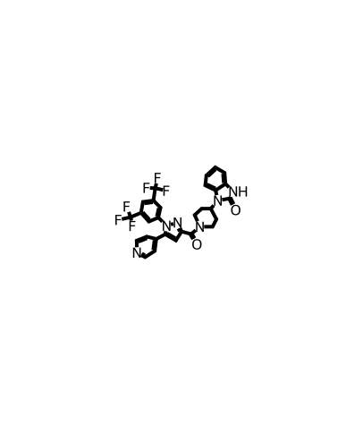 O=C(c1cc(-c2ccncc2)n(-c2cc(C(F)(F)F)cc(C(F)(F)F)c2)n1)N1CCC(n2c(=O)[nH]c3ccccc32)CC1